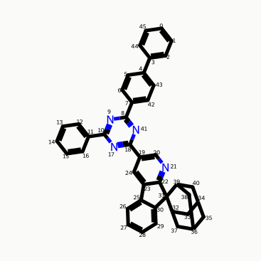 c1ccc(-c2ccc(-c3nc(-c4ccccc4)nc(-c4cnc5c(c4)-c4ccccc4C54C5CC6CC(C5)CC4C6)n3)cc2)cc1